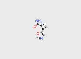 NC(=O)C1CCC1c1cnco1